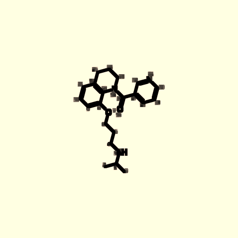 CC(C)NCCCOc1cccc2c1N(C(=O)c1cccnc1)CCC2